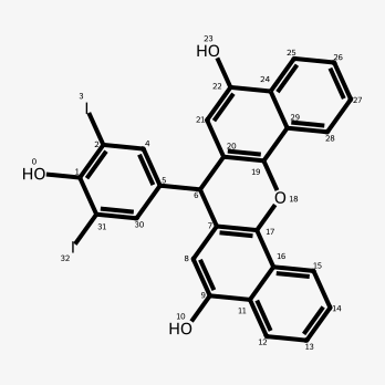 Oc1c(I)cc(C2c3cc(O)c4ccccc4c3Oc3c2cc(O)c2ccccc32)cc1I